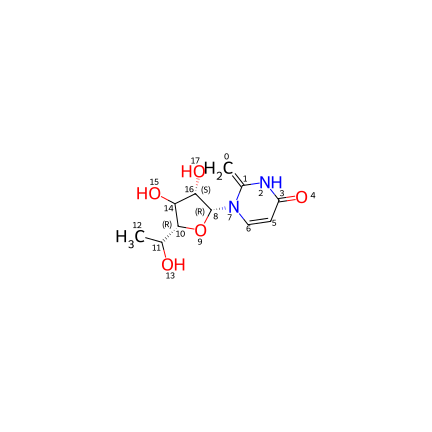 C=C1NC(=O)C=CN1[C@@H]1O[C@H](C(C)O)C(O)[C@@H]1O